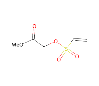 C=CS(=O)(=O)OCC(=O)OC